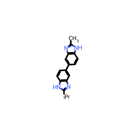 Cc1nc2cc(-c3ccc4[nH]c(C(C)C)nc4c3)ccc2[nH]1